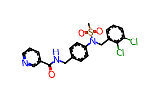 CS(=O)(=O)N(Cc1cccc(Cl)c1Cl)c1ccc(CNC(=O)c2cccnc2)cc1